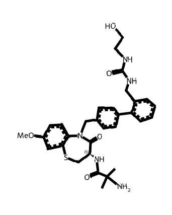 COc1ccc2c(c1)SC[C@@H](NC(=O)C(C)(C)N)C(=O)N2Cc1ccc(-c2ccccc2CNC(=O)NCCO)cc1